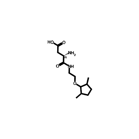 CC1CCC(C)C1OCCNC(=O)[C@@H](N)CC(=O)O